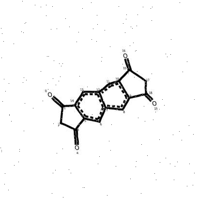 O=C1CC(=O)c2cc3cc4c(cc3cc21)C(=O)CC4=O